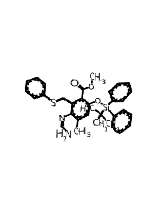 COC(=O)c1c(O[Si](c2ccccc2)(c2ccccc2)C(C)(C)C)cc(C)c(/N=C\N)c1CSc1ccccc1